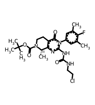 Cc1cc(-n2c(NC(=O)NCCCl)nc3c(c2=O)CCN(C(=O)OC(C)(C)C)[C@H]3C)cc(C)c1F